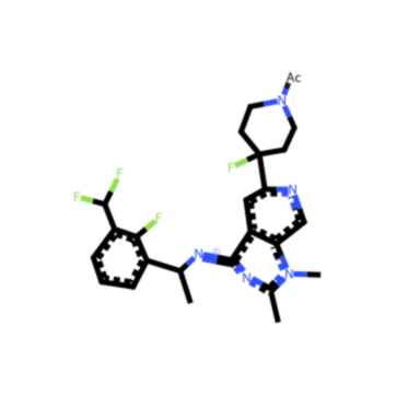 CC(=O)N1CCC(F)(c2cc3/c(=N/C(C)c4cccc(C(F)F)c4F)nc(C)n(C)c3cn2)CC1